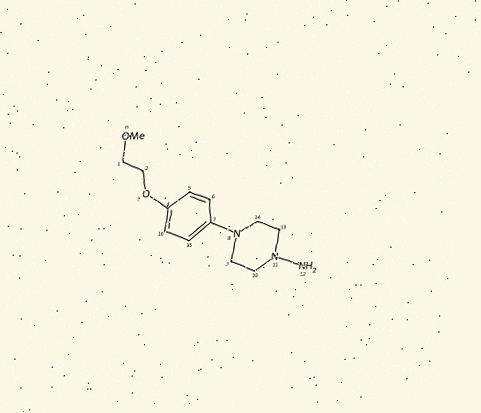 COCCOc1ccc(N2CCN(N)CC2)cc1